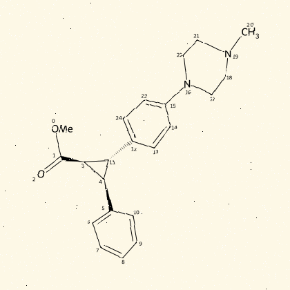 COC(=O)[C@@H]1[C@H](c2ccccc2)[C@H]1c1ccc(N2CCN(C)CC2)cc1